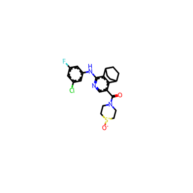 O=C(c1cnc(Nc2cc(F)cc(Cl)c2)c2c1C1CCC2CC1)N1CC[S+]([O-])CC1